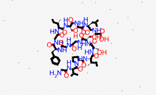 CC[C@H](C)[C@H](NC(=O)CNC(=O)[C@H](Cc1ccccc1)NC(=O)CNC(=O)CNC(=O)[C@H](CO)NC(=O)[C@H](CO)NC(=O)[C@@H](NC(=O)[C@@H]1CCCN1C(=O)[C@@H](NC(=O)CN)C(C)C)[C@@H](C)CC)C(=O)N[C@@H](CO)C(=O)NCC(=O)N[C@@H](CC(C)C)C(=O)NCC(=O)O